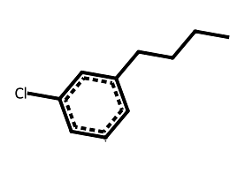 CCCCc1c[c]cc(Cl)c1